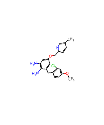 Cc1ccc(COc2cc(N)c(N)c(Cc3ccc(OC(F)(F)F)cc3Cl)c2)nc1